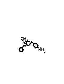 CCOCC1(CCc2ccccc2)CCN(CC2CCC(N)CC2)CC1